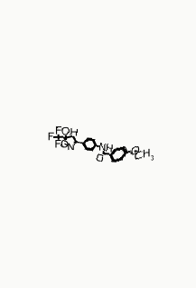 COc1ccc(C(=O)Nc2ccc(C3=NOC(O)(C(F)(F)F)C3)cc2)cc1